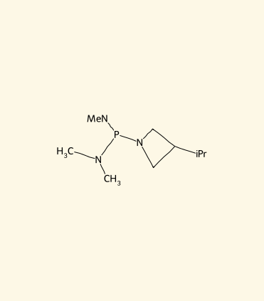 CNP(N(C)C)N1CC(C(C)C)C1